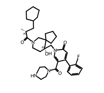 C[C@H](CC1CCCCC1)C(=O)N1CC[C@](O)(Cn2cc(C(=O)N3CCNCC3)c(-c3ccccc3F)cc2=O)C2(CCCC2)C1